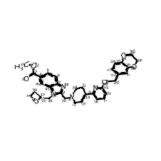 COC(=O)c1ccc2nc(CN3CC=C(c4cccc(OCc5ccc6c(c5)OCCO6)n4)CC3)n(C[C@@H]3CCO3)c2c1